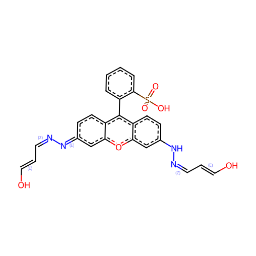 O=S(=O)(O)c1ccccc1-c1c2cc\c(=N/N=C\C=C\O)cc-2oc2cc(N/N=C\C=C\O)ccc12